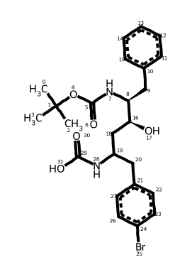 CC(C)(C)OC(=O)N[C@@H](Cc1ccccc1)[C@@H](O)CC(Cc1ccc(Br)cc1)NC(=O)O